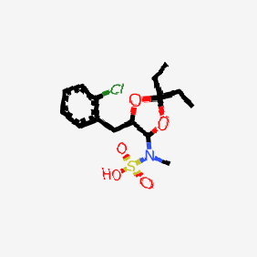 CCC1(CC)OC(Cc2ccccc2Cl)C(N(C)S(=O)(=O)O)O1